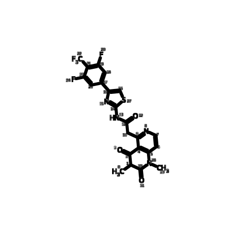 CC1C(=O)c2c(ccnc2CC(=O)Nc2nc(-c3cc(F)c(C(F)(F)F)c(F)c3)cs2)N(C)C1=O